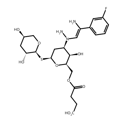 N/C(=C\N(N)[C@@H]1C[C@H](S[C@@H]2OC[C@H](O)C[C@H]2O)O[C@H](COC(=O)CCC(=O)O)[C@@H]1O)c1cccc(F)c1